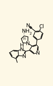 Cc1cccc2[nH]c(-c3cncc(-c4ccc(Cl)c(C#N)c4)c3N3CC[C@H](N)C3)nc12